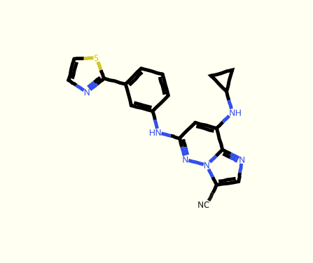 N#Cc1cnc2c(NC3CC3)cc(Nc3cccc(-c4nccs4)c3)nn12